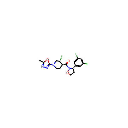 Cc1nnc(N2CC[C@H](C(=O)N3OCC[C@@H]3c3cc(F)cc(F)c3)[C@H](F)C2)o1